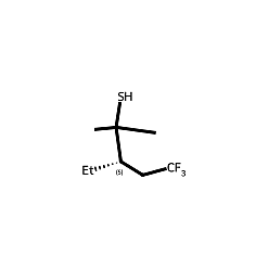 CC[C@@H](CC(F)(F)F)C(C)(C)S